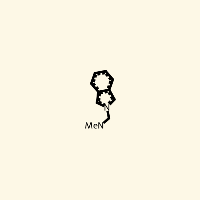 CNCn1cc2ccccc2c1